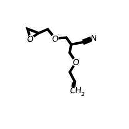 C=CCOCC(C#N)COCC1CO1